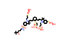 CN(CCCC(=O)C(C)(C)C)S(=O)(=O)c1ccc2c(c1)C(C)(C)/C(=C\C=C1/CCCC(/C=C/C3=[N+](CCCS(=O)(=O)O)c4ccc(SOOO)cc4C3(C)C)=C1SCCS(=O)(=O)O)N2CCCSOOO